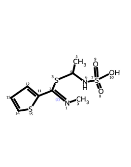 C/N=C(\SC(C)NS(=O)(=O)O)c1cccs1